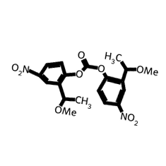 COC(C)c1cc([N+](=O)[O-])ccc1OC(=O)Oc1ccc([N+](=O)[O-])cc1C(C)OC